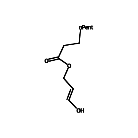 CCCCCCCC(=O)OCC=CO